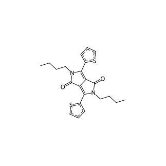 CCCCN1C(=O)C2=C(c3cccs3)N(CCCC)C(=O)C2=C1c1cccs1